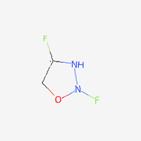 F[C]1CON(F)N1